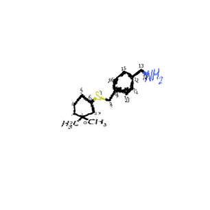 CC1(C)CCCC(SCc2ccc(CN)cc2)C1